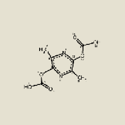 Cc1nc(OC(=O)O)c(C)nc1OC(=O)O